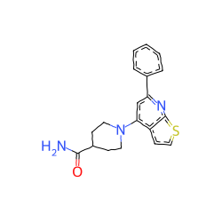 NC(=O)C1CCN(c2cc(-c3ccccc3)nc3sccc23)CC1